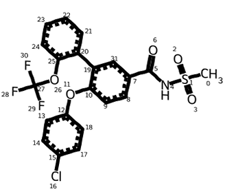 CS(=O)(=O)NC(=O)c1ccc(Oc2ccc(Cl)cc2)c(-c2ccccc2OC(F)(F)F)c1